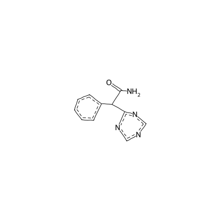 NC(=O)C(c1ccccc1)c1ncncn1